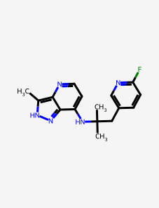 Cc1[nH]nc2c(NC(C)(C)Cc3ccc(F)nc3)ccnc12